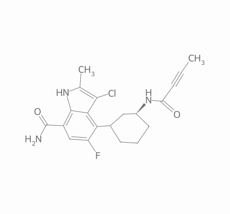 CC#CC(=O)N[C@H]1CCCC(c2c(F)cc(C(N)=O)c3[nH]c(C)c(Cl)c23)C1